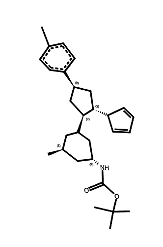 Cc1ccc([C@H]2C[C@H](C3C=CC=C3)[C@@H](C3C[C@H](C)C[C@@H](NC(=O)OC(C)(C)C)C3)C2)cc1